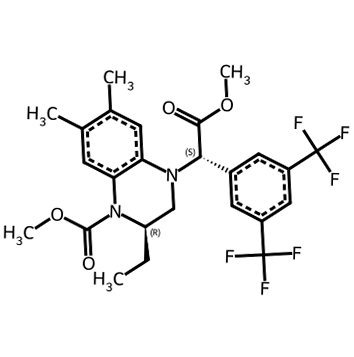 CC[C@@H]1CN([C@H](C(=O)OC)c2cc(C(F)(F)F)cc(C(F)(F)F)c2)c2cc(C)c(C)cc2N1C(=O)OC